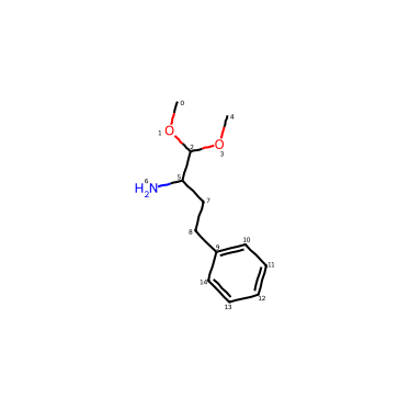 COC(OC)C(N)CCc1ccccc1